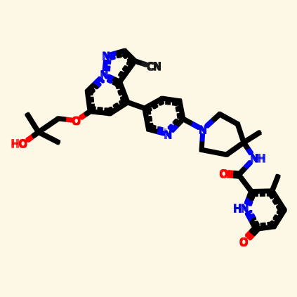 Cc1ccc(=O)[nH]c1C(=O)NC1(C)CCN(c2ccc(-c3cc(OCC(C)(C)O)cn4ncc(C#N)c34)cn2)CC1